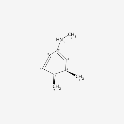 CNC1=C[C@@H](C)[C@@H](C)C=C1